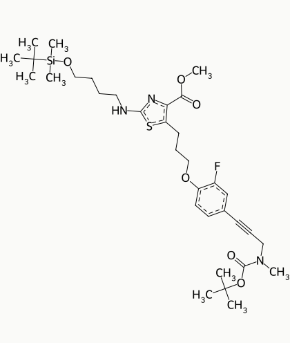 COC(=O)c1nc(NCCCCO[Si](C)(C)C(C)(C)C)sc1CCCOc1ccc(C#CCN(C)C(=O)OC(C)(C)C)cc1F